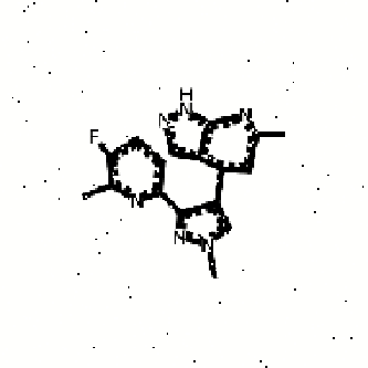 Cc1cc(-c2cn(C)nc2-c2ccc(F)c(C)n2)c2cn[nH]c2n1